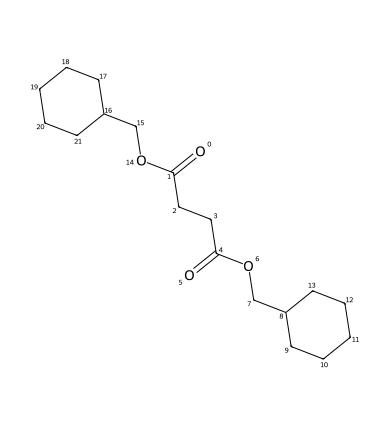 O=C(CCC(=O)OCC1CCCCC1)OCC1CCCCC1